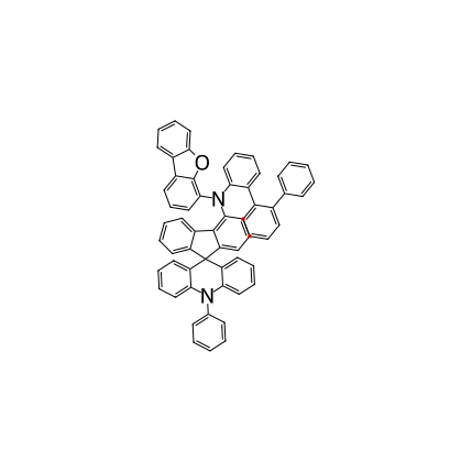 c1ccc(-c2ccccc2-c2ccccc2N(c2cccc3c2-c2ccccc2C32c3ccccc3N(c3ccccc3)c3ccccc32)c2cccc3c2oc2ccccc23)cc1